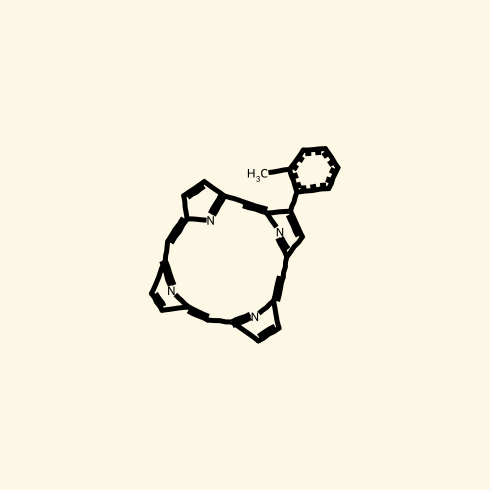 Cc1ccccc1C1=CC2=NC1=CC1=NC(=CC3=NC(=CC4=NC(=C2)C=C4)C=C3)C=C1